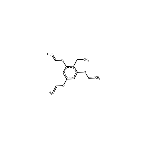 C=COc1cc(OC=C)c(CC)c(OC=C)c1